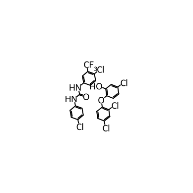 O=C(Nc1ccc(Cl)cc1)Nc1ccc(Cl)c(C(F)(F)F)c1.Oc1cc(Cl)ccc1Oc1ccc(Cl)cc1Cl